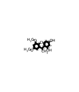 COc1cc(OC)c(C)c(C(C)c2ccc(O)cc2O)c1